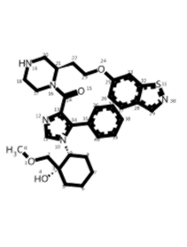 COC[C@]1(O)CCCC[C@H]1n1cnc(C(=O)N2CCNC[C@H]2CCOc2ccc3cnsc3c2)c1-c1ccccc1